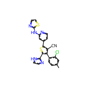 Cc1ccc(-c2c(-c3ncc[nH]3)sc(-c3ccnc(Nc4nccs4)c3)c2C#N)c(Cl)c1